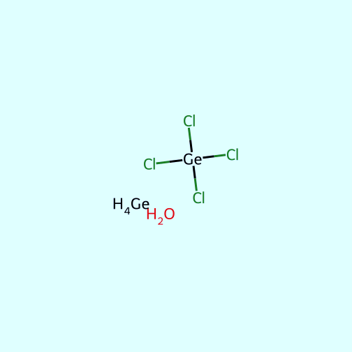 O.[Cl][Ge]([Cl])([Cl])[Cl].[GeH4]